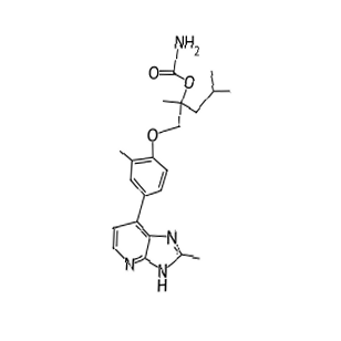 Cc1nc2c(-c3ccc(OCC(C)(CC(C)C)OC(N)=O)c(C)c3)ccnc2[nH]1